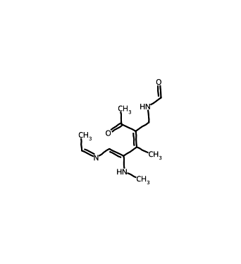 C\C=N/C=C(NC)/C(C)=C(/CNC=O)C(C)=O